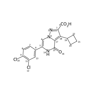 O=C(O)c1nn2cc(-c3ccc(Cl)c(Cl)c3)[nH]c(=O)c2c1C1CCC1